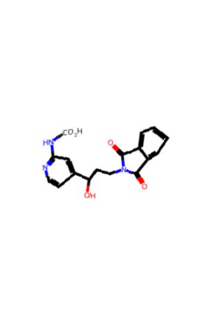 O=C(O)Nc1cc(C(O)CCN2C(=O)c3ccccc3C2=O)ccn1